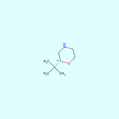 CC(C)(C)[C@@H]1CNCCO1